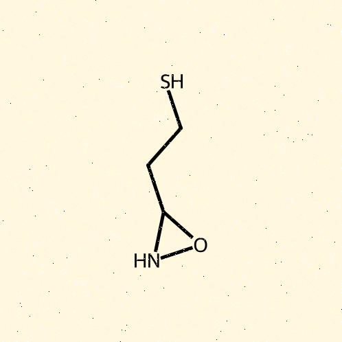 SCCC1NO1